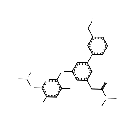 CC[C@@H](Oc1nc(Oc2cc(CC(=O)N(C)C)cc(-c3cccc(CN)c3)c2)c(F)cc1F)C(=O)O